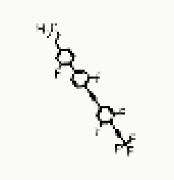 CCCc1ccc(-c2ccc(C#Cc3cc(F)c(C#CC(F)(F)F)c(F)c3)c(F)c2)c(F)c1